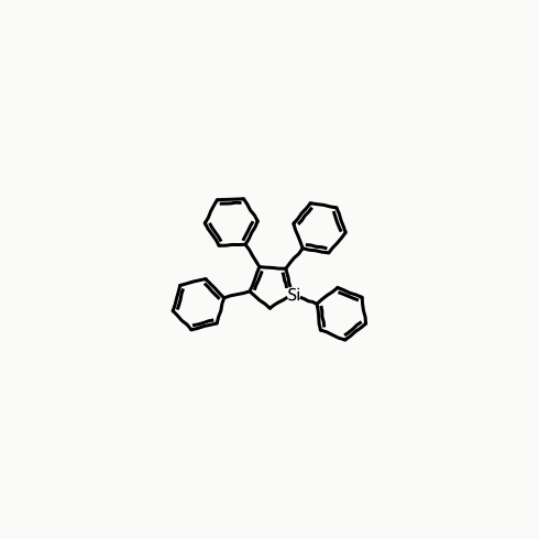 c1ccc(C2=C(c3ccccc3)C(c3ccccc3)=[Si](c3ccccc3)C2)cc1